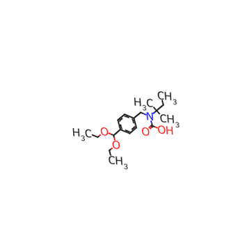 CCOC(OCC)c1ccc(CN(C(=O)O)C(C)(C)CC)cc1